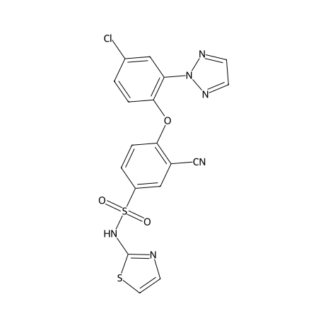 N#Cc1cc(S(=O)(=O)Nc2nccs2)ccc1Oc1ccc(Cl)cc1-n1nccn1